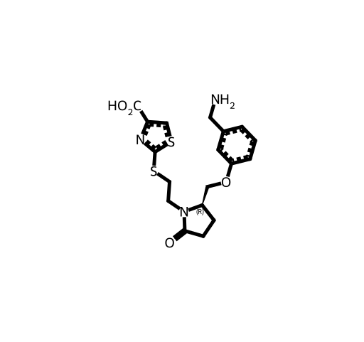 NCc1cccc(OC[C@H]2CCC(=O)N2CCSc2nc(C(=O)O)cs2)c1